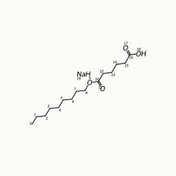 CCCCCCCCCOC(=O)CCCCC(=O)O.[NaH]